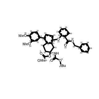 COC(=O)O[C@@]1(NC(=O)OC(C)(C)C)CCc2c(-c3ccc(OC)c(OC)c3)ccc(Oc3ccccc3C(=O)OCc3ccccc3)c2C1